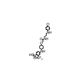 O=C(COC1CCC(Nc2ccc(N(O)O)c(C(F)(F)F)c2)CC1)NCCCNc1ccc(Cl)cc1